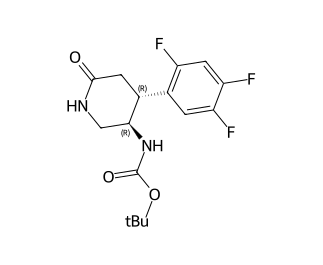 CC(C)(C)OC(=O)N[C@H]1CNC(=O)C[C@@H]1c1cc(F)c(F)cc1F